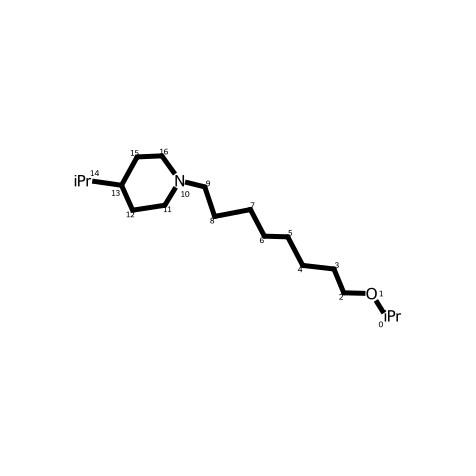 CC(C)OCCCCCCCCN1CCC(C(C)C)CC1